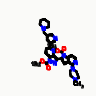 CN1CCN(c2nccc3c2cc(-c2nn(C(=O)OC(C)(C)C)c4ccc(-c5cncc(CN6CCCCC6)c5)nc24)n3C(=O)OC(C)(C)C)CC1